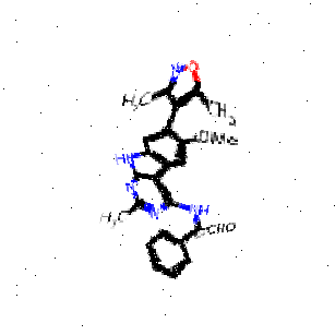 COc1cc2c(cc1-c1c(C)noc1C)[nH]c1nc(C)nc(N[C@H](C=O)c3ccccc3)c12